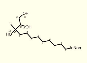 CCCCCCCCCCCCCCCCCCC(C)(O)C(O)CO